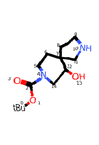 CC(C)(C)OC(=O)N1CCC2(CCNC2)C(O)C1